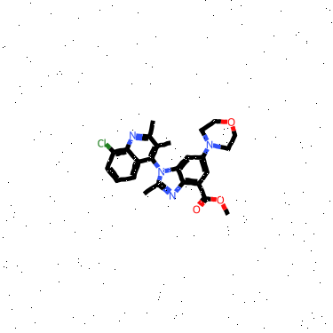 COC(=O)c1cc(N2CCOCC2)cc2c1nc(C)n2-c1c(C)c(C)nc2c(Cl)cccc12